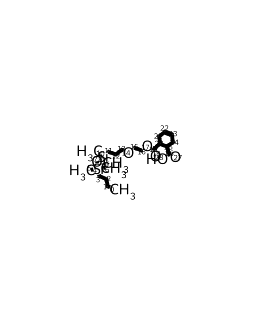 CCCC[Si](C)(C)O[Si](C)(C)CCCOCCOC(=O)C1CC=CCC1C(=O)O